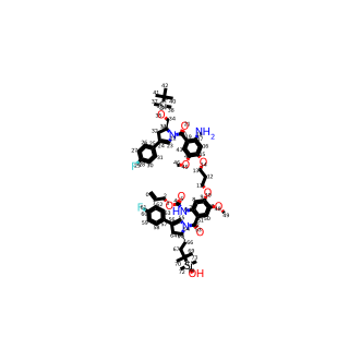 C=CCOC(=O)Nc1cc(OCCCOc2cc(N)c(C(=O)N3C=C(c4ccc(F)cc4)C[C@H]3CO[Si](C)(C)C(C)(C)C)cc2OC)c(OC)cc1C(=O)N1C=C(c2ccc(F)cc2)C[C@H]1CCC(C)(C)[Si](C)(C)O